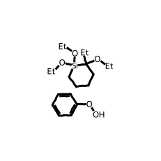 CCOC1(CC)CCCC[Si]1(OCC)OCC.OOc1ccccc1